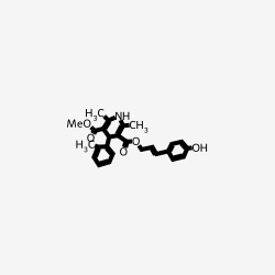 COC(=O)C1=C(C)NC(C)=C(C(=O)OC/C=C/c2ccc(O)cc2)C1c1ccccc1C